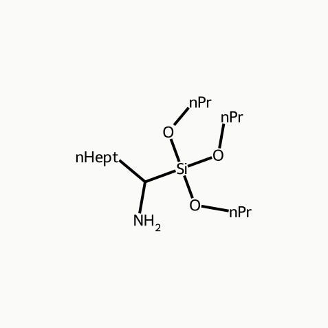 CCCCCCCC(N)[Si](OCCC)(OCCC)OCCC